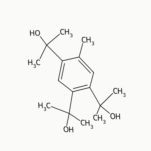 Cc1cc(C(C)(C)O)c(C(C)(C)O)cc1C(C)(C)O